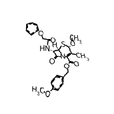 COc1ccc(COC(=O)C2=C(C)[C@@H](OC)S[C@@H]3[C@@H](NC(=O)COc4ccccc4)C(=O)N23)cc1